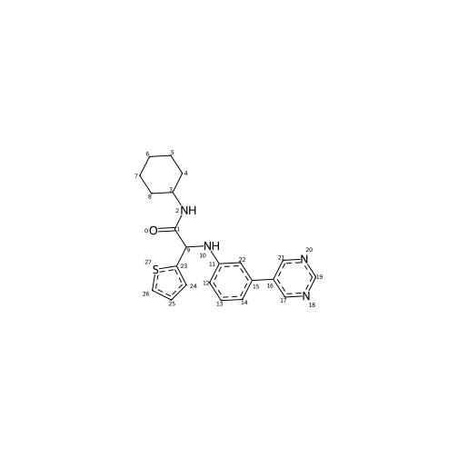 O=C(NC1CCCCC1)C(Nc1cccc(-c2cncnc2)c1)c1cccs1